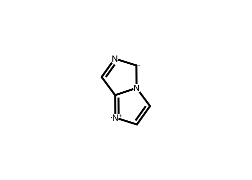 [CH]1N=CC2=[N+]C=CN12